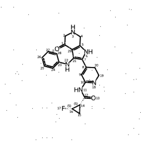 O=C1CNCc2[nH]c(C3=CC(NC(=O)[C@@H]4C[C@@H]4F)=NCC3)c(NC3=C=C=CC=C3)c21